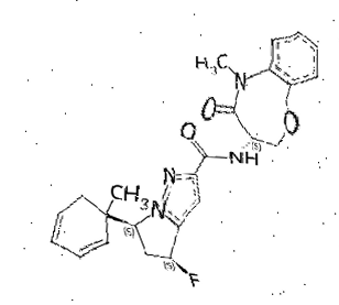 CN1C(=O)[C@@H](NC(=O)c2cc3n(n2)[C@H](C2(C)C=CC=CC2)C[C@@H]3F)COc2ccccc21